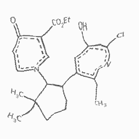 CCOC(=O)c1cn(C2C(c3cc(O)c(Cl)nc3C)CCC2(C)C)ccc1=O